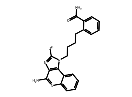 CCCc1nc2c(N)nc3ccccc3c2n1CCCCc1ccccc1C(N)=O